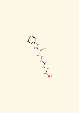 O=C(NCc1ccccc1)OCCCCCCO